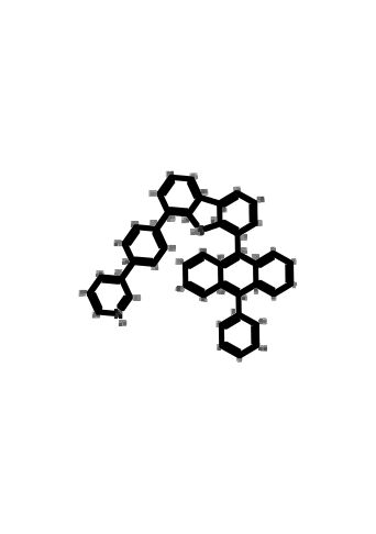 c1ccc(-c2c3ccccc3c(-c3cccc4c3sc3c(-c5ccc(-c6cccnc6)cc5)cccc34)c3ccccc23)cc1